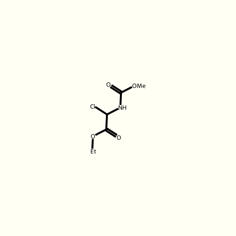 CCOC(=O)C(Cl)NC(=O)OC